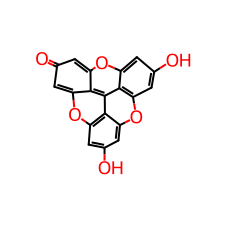 O=c1cc2oc3cc(O)cc4oc5cc(O)cc6oc(c1)c2c(c43)c56